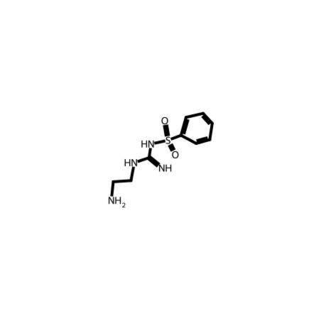 N=C(NCCN)NS(=O)(=O)c1ccccc1